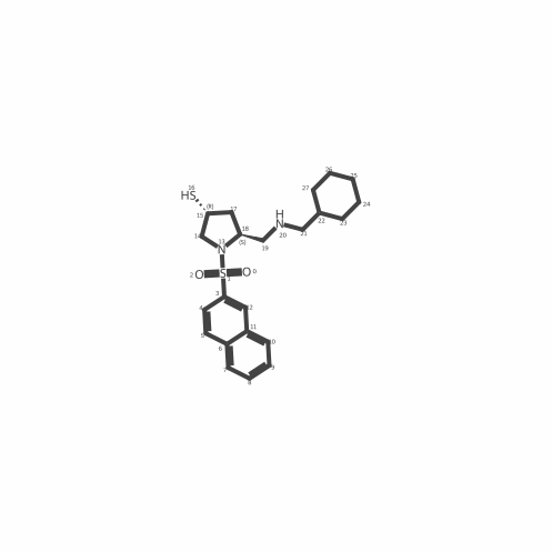 O=S(=O)(c1ccc2ccccc2c1)N1C[C@H](S)C[C@H]1CNCC1CCCCC1